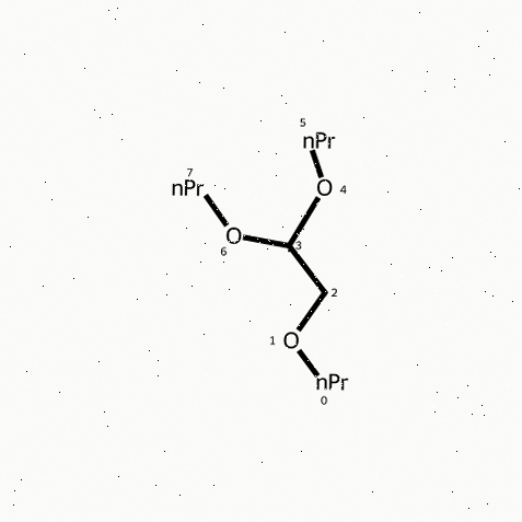 CCCOC[C](OCCC)OCCC